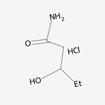 Cl.[CH2]CC(O)CC(N)=O